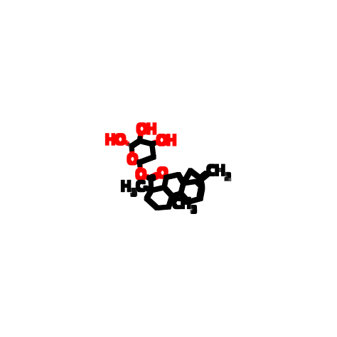 C=C1CC23CCC4C(C)(C(=O)OC5CC(O)C(O)[C@@H](O)O5)CCC[C@]4(C)C2CC=C1C3